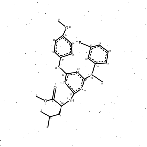 COC(=O)[C@H](CC(C)C)Nc1nc(Sc2ccc(OC)cc2)nc(N(C)c2cccc(F)c2)n1